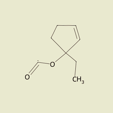 CCC1(O[C]=O)C=CCC1